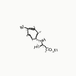 CCOC(=O)C(S)Nc1ccc(Br)cc1